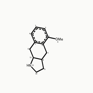 COc1cccc2c1CC1CCNC1C2